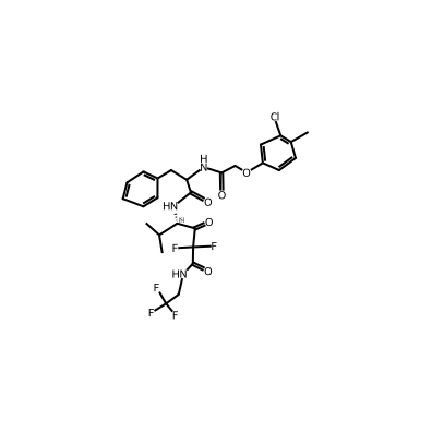 Cc1ccc(OCC(=O)NC(Cc2ccccc2)C(=O)N[C@H](C(=O)C(F)(F)C(=O)NCC(F)(F)F)C(C)C)cc1Cl